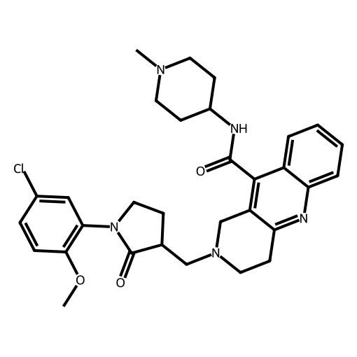 COc1ccc(Cl)cc1N1CCC(CN2CCc3nc4ccccc4c(C(=O)NC4CCN(C)CC4)c3C2)C1=O